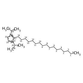 CCCCCCCCCCCCCCCCCc1n(C(C)C)cc[n+]1C(C)C